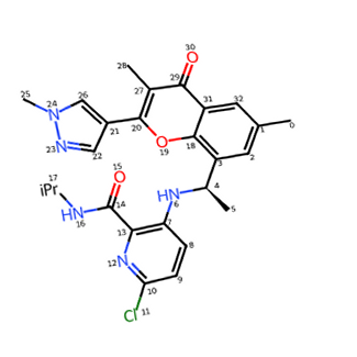 Cc1cc([C@@H](C)Nc2ccc(Cl)nc2C(=O)NC(C)C)c2oc(-c3cnn(C)c3)c(C)c(=O)c2c1